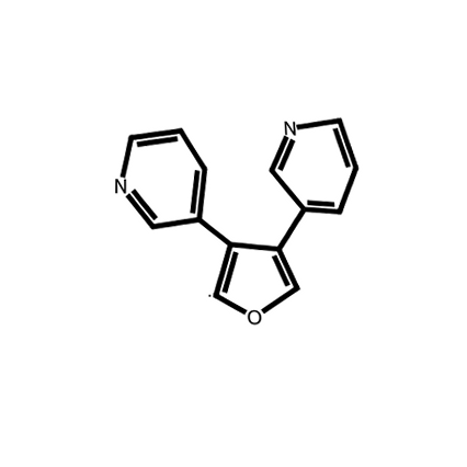 [c]1occ(-c2cccnc2)c1-c1cccnc1